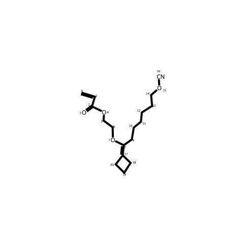 C=CC(=O)OCCOC(CCCCCCOC#N)=C1CCC1